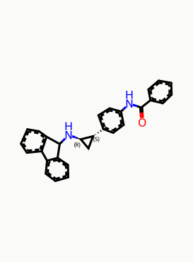 O=C(Nc1ccc([C@@H]2C[C@H]2NC2c3ccccc3-c3ccccc32)cc1)c1ccccc1